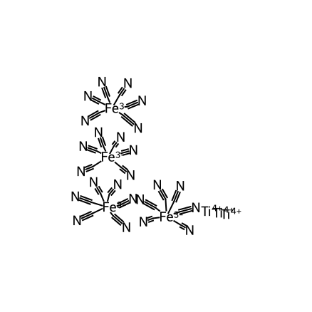 N#[C][Fe-3]([C]#N)([C]#N)([C]#N)([C]#N)[C]#N.N#[C][Fe-3]([C]#N)([C]#N)([C]#N)([C]#N)[C]#N.N#[C][Fe-3]([C]#N)([C]#N)([C]#N)([C]#N)[C]#N.N#[C][Fe-3]([C]#N)([C]#N)([C]#N)([C]#N)[C]#N.[Ti+4].[Ti+4].[Ti+4]